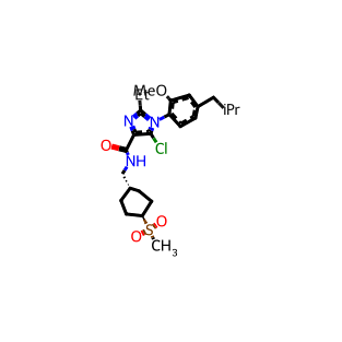 CCc1nc(C(=O)NC[C@H]2CC[C@H](S(C)(=O)=O)CC2)c(Cl)n1-c1ccc(CC(C)C)cc1OC